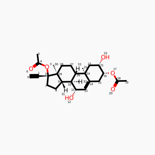 C#C[C@]1(OC(C)=O)CC[C@H]2[C@@H]3[C@@H](O)C=C4C[C@@H](OC(C)=O)[C@@H](O)C[C@]4(C)[C@H]3CC[C@@]21C